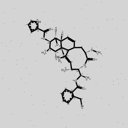 CO[C@H]1CC2C=C[C@H]3[C@H]4O[C@]2(/C(C)=C/[C@@H](C)[C@@H]([C@@H](C)OC(=O)c2ccccc2CBr)OC1=O)[C@@H]3[C@H](O)[C@@H](C)[C@H]4OC(=O)c1ccc[nH]1